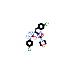 O=C(Nc1ccc(Cl)cc1)N[C@@H](Cc1ccc(Cl)cc1)c1noc(N2CCOCC2)n1